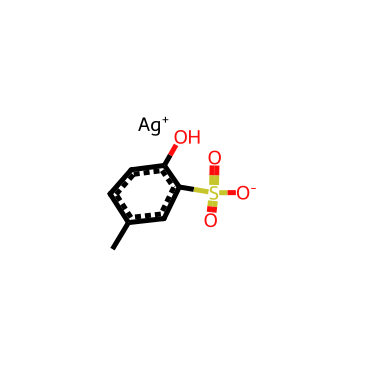 Cc1ccc(O)c(S(=O)(=O)[O-])c1.[Ag+]